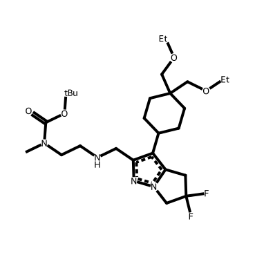 CCOCC1(COCC)CCC(c2c(CNCCN(C)C(=O)OC(C)(C)C)nn3c2CC(F)(F)C3)CC1